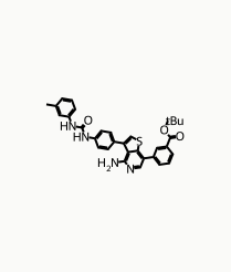 Cc1cccc(NC(=O)Nc2ccc(-c3csc4c(-c5cccc(C(=O)OC(C)(C)C)c5)cnc(N)c34)cc2)c1